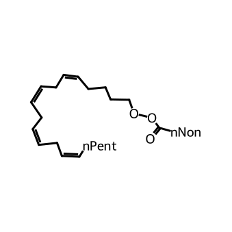 CCCCC/C=C\C/C=C\C/C=C\C/C=C\CCCCOOC(=O)CCCCCCCCC